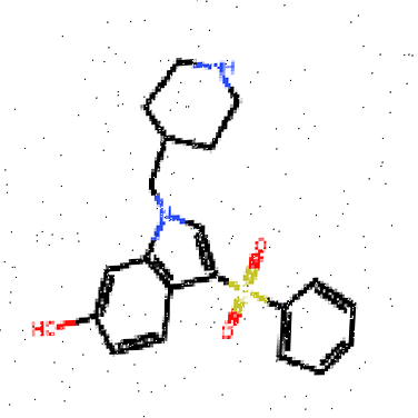 O=S(=O)(c1ccccc1)c1cn(CC2CCNCC2)c2cc(O)ccc12